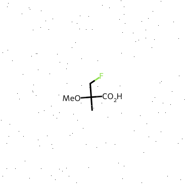 COC(C)(CF)C(=O)O